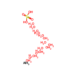 O.O.O.O.O.O.O.O.O.O.O.O.O.O.O.O=S(=O)(O)O.[AlH3]